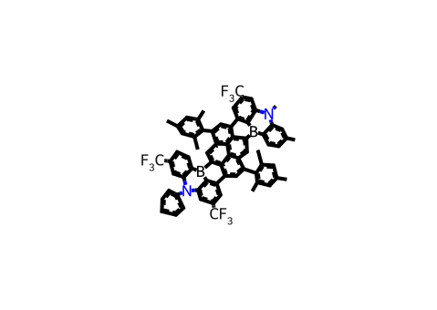 Cc1cc(C)c(-c2cc3c4c(cc5c(-c6c(C)cc(C)cc6C)cc6c7c(cc2c4c57)B2c4ccc(C(F)(F)F)cc4N(c4ccccc4)c4cc(C(F)(F)F)cc-6c42)B2c4ccc(C)cc4N(C)c4cc(C(F)(F)F)cc-3c42)c(C)c1